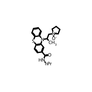 CCCNC(=O)c1ccc2c(c1)N(C(C)C[N+]1([O-])CCCC1)c1ccccc1S2